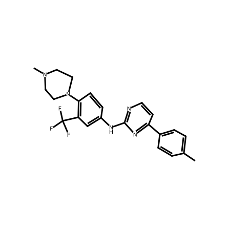 Cc1ccc(-c2ccnc(Nc3ccc(N4CCN(C)CC4)c(C(F)(F)F)c3)n2)cc1